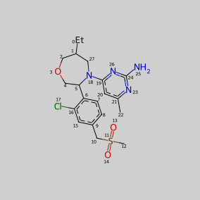 CCC1COCC(c2ccc(CS(C)(=O)=O)cc2Cl)N(c2cc(C)nc(N)n2)C1